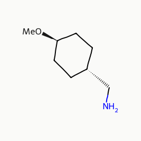 CO[C@H]1CC[C@H](CN)CC1